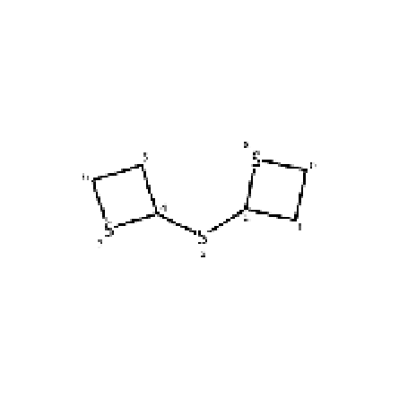 C1CC(SC2CCS2)S1